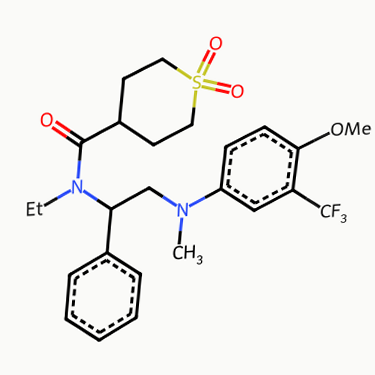 CCN(C(=O)C1CCS(=O)(=O)CC1)C(CN(C)c1ccc(OC)c(C(F)(F)F)c1)c1ccccc1